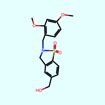 COc1ccc(CN2Cc3cc(CO)ccc3S2(=O)=O)c(OC)c1